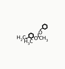 C=Cc1cccc(OC(C)COCc2ccccc2)c1C